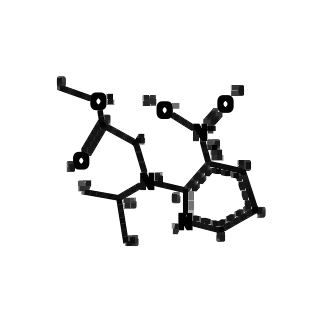 COC(=O)CN(c1ncccc1[N+](=O)[O-])C(C)C